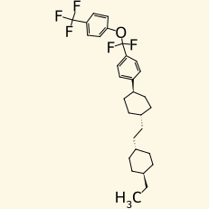 CC[C@H]1CC[C@H](CC[C@H]2CC[C@H](c3ccc(C(F)(F)Oc4ccc(C(F)(F)F)cc4)cc3)CC2)CC1